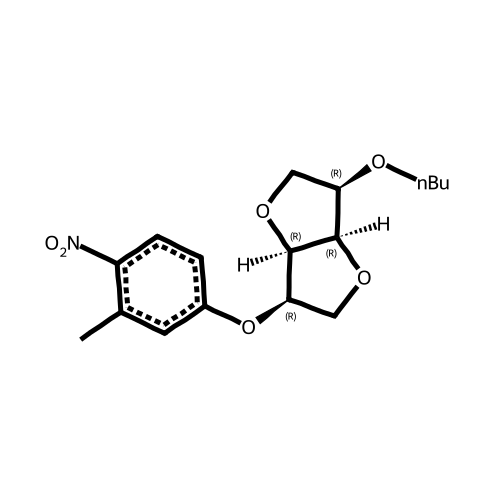 CCCCO[C@@H]1CO[C@H]2[C@@H]1OC[C@H]2Oc1ccc([N+](=O)[O-])c(C)c1